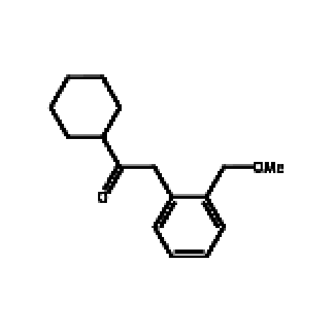 COCc1ccccc1CC(=O)C1CCCCC1